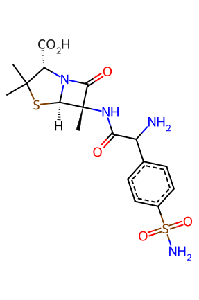 CC1(C)S[C@H]2N(C(=O)[C@]2(C)NC(=O)C(N)c2ccc(S(N)(=O)=O)cc2)[C@H]1C(=O)O